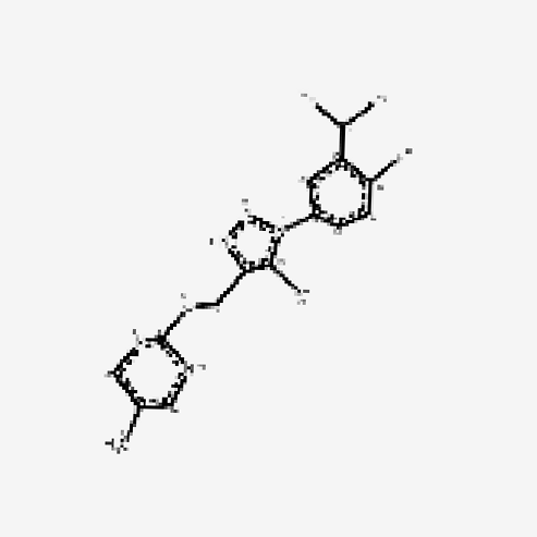 Cc1cnc(OCc2nnn(-c3ccc(F)c(C(F)F)c3)c2S)nc1